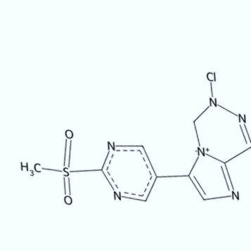 CS(=O)(=O)c1ncc(C2=CN=C3C=NN(Cl)C[N+]23)cn1